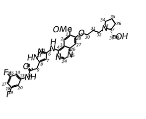 COc1cc2c(Nc3cc(CC(=O)Nc4cc(F)cc(F)c4)[nH]n3)ncnc2cc1OCCCN1CCC[C@@H]1CO